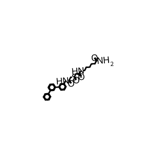 NC(=O)CCCCCNC(=O)C[S+]([O-])CC(=O)Nc1cccc(-c2cccc(-c3ccccc3)c2)c1